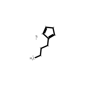 CCCCC1=C[CH]C=C1.[Ti]